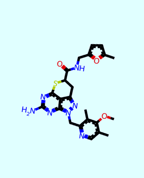 COc1c(C)cnc(Cn2nc3c4c(nc(N)nc42)SC(C(=O)NCc2ccc(C)o2)C3)c1C